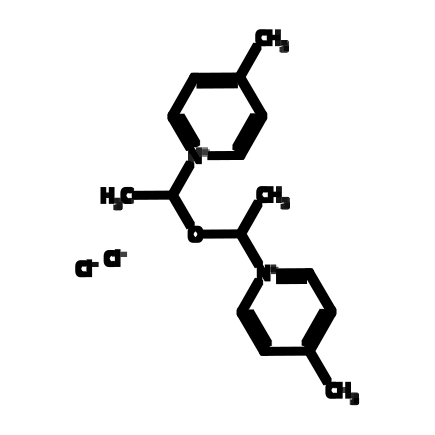 Cc1cc[n+](C(C)OC(C)[n+]2ccc(C)cc2)cc1.[Cl-].[Cl-]